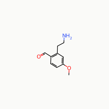 COc1ccc(C=O)c(CCN)c1